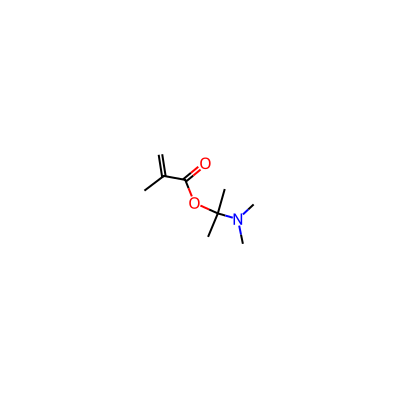 C=C(C)C(=O)OC(C)(C)N(C)C